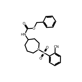 N#Cc1ccccc1S(=O)(=O)N1CCCC(NC(=O)OCc2ccccc2)CC1